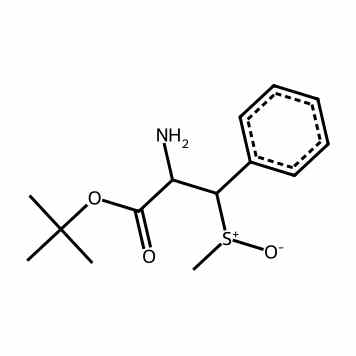 C[S+]([O-])C(c1ccccc1)C(N)C(=O)OC(C)(C)C